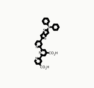 O=C(O)c1ccnc(-c2cc(C(=O)O)cc(-c3cc(-c4cc5sc(N(c6ccccc6)c6ccccc6)cc5s4)ccn3)n2)c1